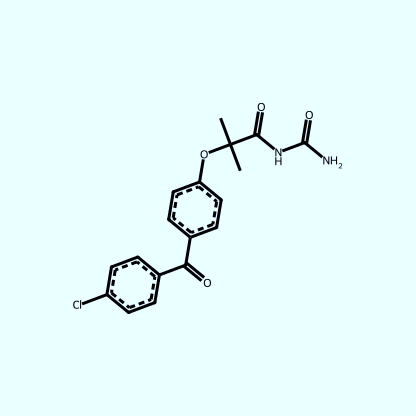 CC(C)(Oc1ccc(C(=O)c2ccc(Cl)cc2)cc1)C(=O)NC(N)=O